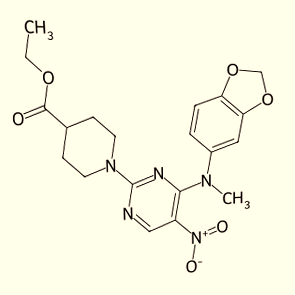 CCOC(=O)C1CCN(c2ncc([N+](=O)[O-])c(N(C)c3ccc4c(c3)OCO4)n2)CC1